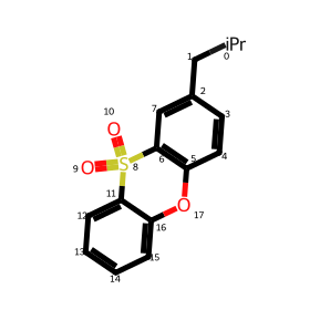 CC(C)Cc1ccc2c(c1)S(=O)(=O)c1ccccc1O2